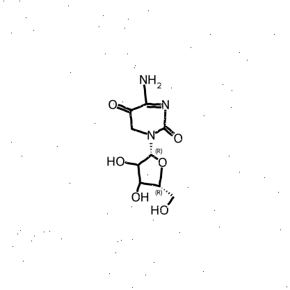 NC1=NC(=O)N([C@@H]2O[C@H](CO)C(O)C2O)CC1=O